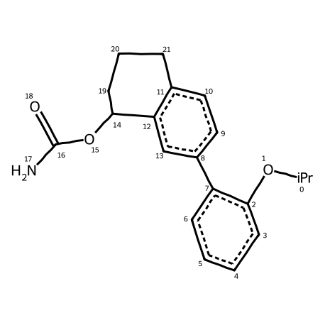 CC(C)Oc1ccccc1-c1ccc2c(c1)C(OC(N)=O)CCC2